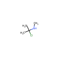 CNC(C)([SiH3])Cl